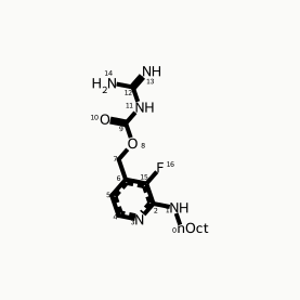 CCCCCCCCNc1nccc(COC(=O)NC(=N)N)c1F